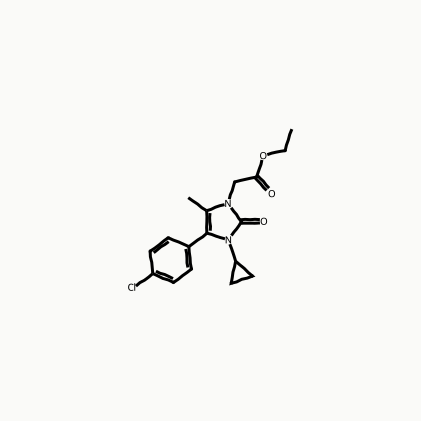 CCOC(=O)Cn1c(C)c(-c2ccc(Cl)cc2)n(C2CC2)c1=O